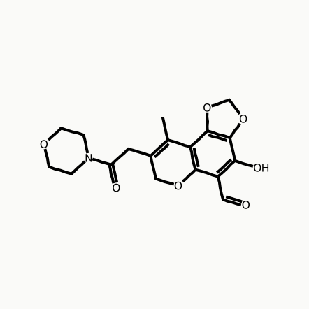 CC1=C(CC(=O)N2CCOCC2)COc2c(C=O)c(O)c3c(c21)OCO3